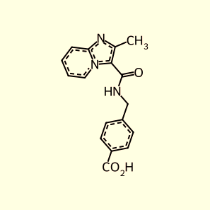 Cc1nc2ccccn2c1C(=O)NCc1ccc(C(=O)O)cc1